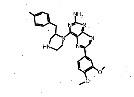 COc1ccc(-c2cnc3nc(N)nc(N4CCNCC4Cc4ccc(C)cc4)c3n2)cc1OC